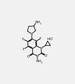 Cl.NC1CCN(c2c(F)c(F)c3c(=O)n(N)c(=O)n(C4CC4)c3c2F)C1